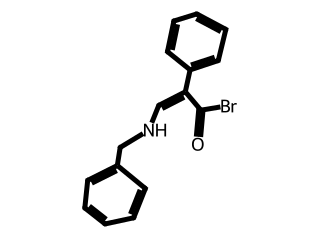 O=C(Br)C(=CNCc1ccccc1)c1ccccc1